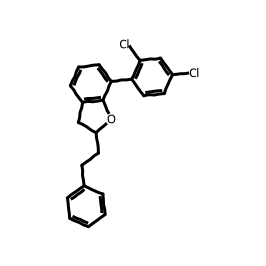 Clc1ccc(-c2cccc3c2OC(CCc2ccccc2)C3)c(Cl)c1